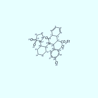 CCOC(=O)C1C2C=CC=CC2C(=O)N(C2CCCCC2N2CCCS2(=O)=O)C1c1ccc(Cl)cc1Cl